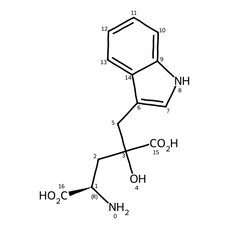 N[C@H](CC(O)(Cc1c[nH]c2ccccc12)C(=O)O)C(=O)O